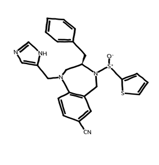 N#Cc1ccc2c(c1)CN([S+]([O-])c1cccs1)[C@H](Cc1ccccc1)CN2Cc1cnc[nH]1